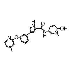 Cc1ccnc(Oc2cccc(-c3c[nH]c(C(=O)NC4=CN(C)C(O)C=C4)c3)c2)c1